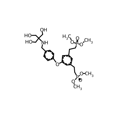 COP(=O)(CCc1cc(CCP(=O)(OC)OC)cc(Oc2ccc(CNC(CO)(CO)CO)cc2)c1)OC